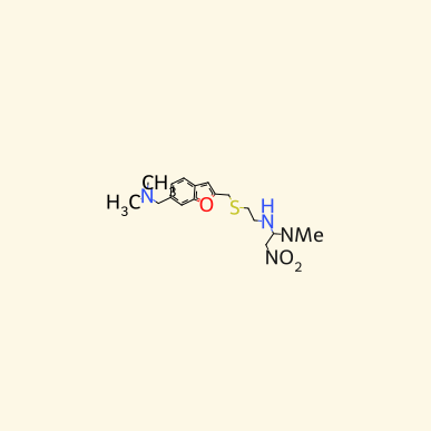 CNC(C[N+](=O)[O-])NCCSCc1cc2ccc(CN(C)C)cc2o1